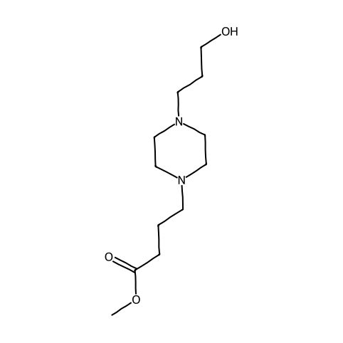 COC(=O)CCCN1CCN(CCCO)CC1